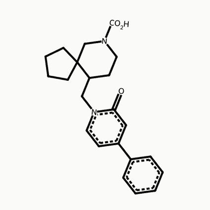 O=C(O)N1CCC(Cn2ccc(-c3ccccc3)cc2=O)C2(CCCC2)C1